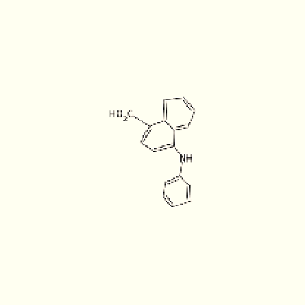 O=C(O)c1ccc(Nc2ccccc2)c2ccccc12